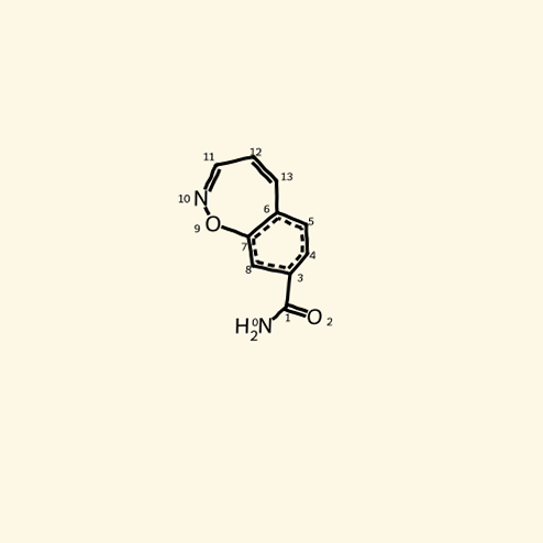 NC(=O)c1ccc2c(c1)ON=CC=C2